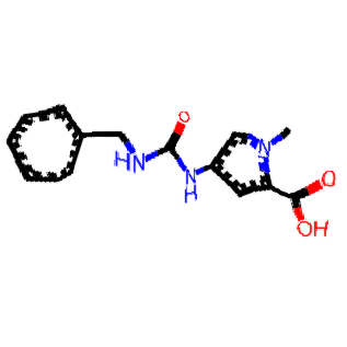 Cn1cc(NC(=O)NCc2ccccc2)cc1C(=O)O